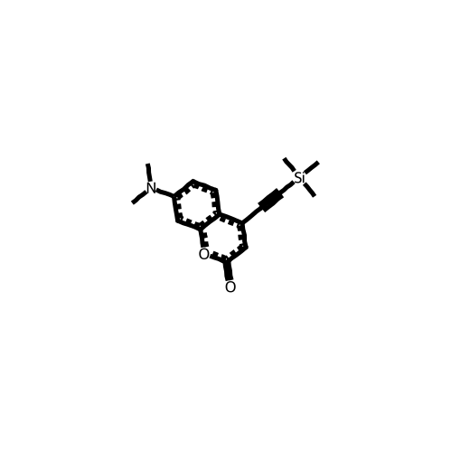 CN(C)c1ccc2c(C#C[Si](C)(C)C)cc(=O)oc2c1